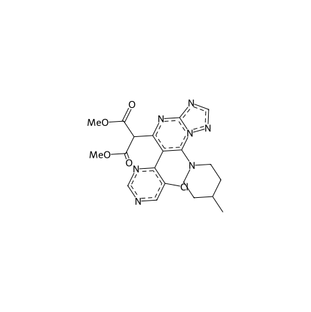 COC(=O)C(C(=O)OC)c1nc2ncnn2c(N2CCC(C)CC2)c1-c1ncncc1Cl